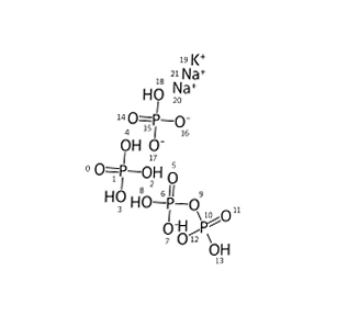 O=P(O)(O)O.O=P([O-])(O)OP(=O)(O)O.O=P([O-])([O-])O.[K+].[Na+].[Na+]